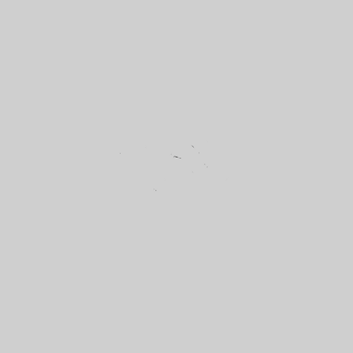 CC(C)(C)OC(=O)c1ccccc1N(C(=O)CN)[C@@H]1C(=O)N2C(C(=O)OCc3ccccc3)C(O)CS[C@@H]12